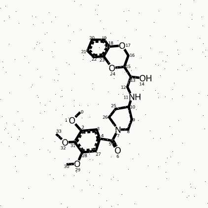 COc1cc(C(=O)N2CCC(NCC(O)C3COc4ccccc4O3)CC2)cc(OC)c1OC